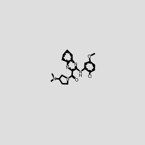 COc1ccc(Cl)c(Nc2nc3ccccc3nc2C(=O)N2CCC(N(C)C)C2)c1